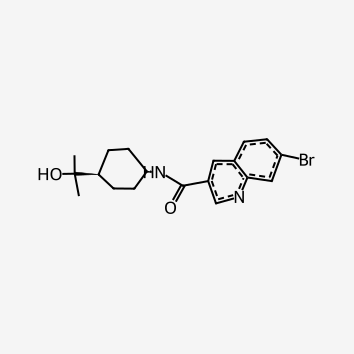 CC(C)(O)[C@H]1CC[C@H](NC(=O)c2cnc3cc(Br)ccc3c2)CC1